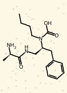 CCCCN(C(=O)O)[C@H](CNC(=O)[C@@H](C)N)Cc1ccccc1